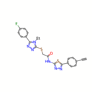 C#Cc1ccc(-c2nnc(NC(=O)CSc3nnc(-c4ccc(F)cc4)n3CC)s2)cc1